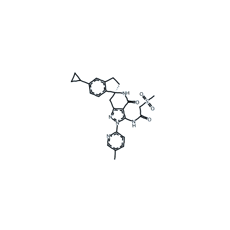 Cc1ccc(-n2nc3c(c2NC(=O)CS(C)(=O)=O)C(=O)N[C@@]2(CCc4cc(C5CC5)ccc42)C3)nc1